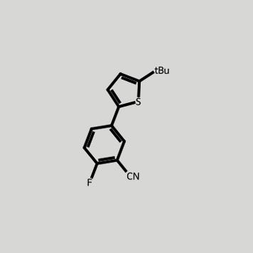 CC(C)(C)c1ccc(-c2ccc(F)c(C#N)c2)s1